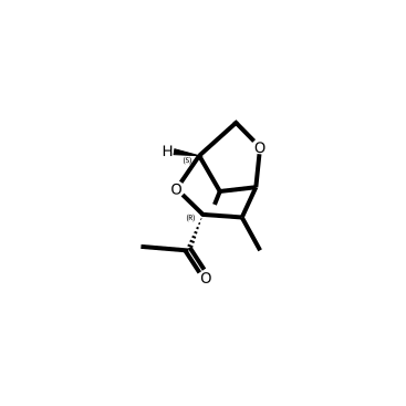 CC(=O)[C@@H]1O[C@@H]2COC(C2C)C1C